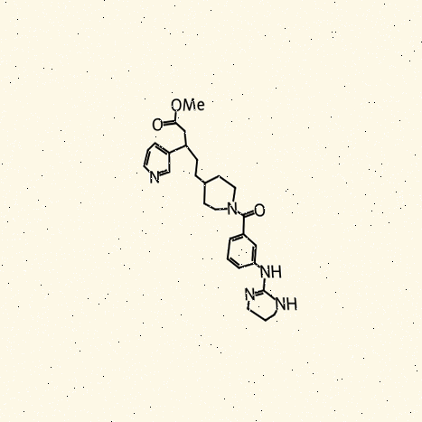 COC(=O)CC(CCC1CCN(C(=O)c2cccc(NC3=NCCCN3)c2)CC1)c1cccnc1